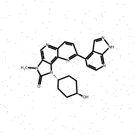 Cn1c(=O)n([C@H]2CC[C@H](O)CC2)c2c3nc(-c4ccnc5[nH]ncc45)ccc3ncc21